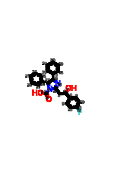 O=C(O)N1C(CC(O)c2ccc(F)cc2)=N[C@H](c2ccccc2)[C@@H]1c1ccccc1